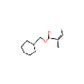 [CH2]/C(=C/C)C(=O)OCC1CCCCC1